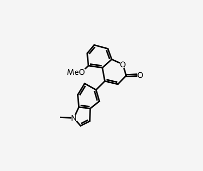 COc1cccc2oc(=O)cc(-c3ccc4c(ccn4C)c3)c12